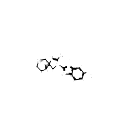 COc1ccc2nc(N3CC4(CN5CCC4CC5)N=C3N)sc2c1